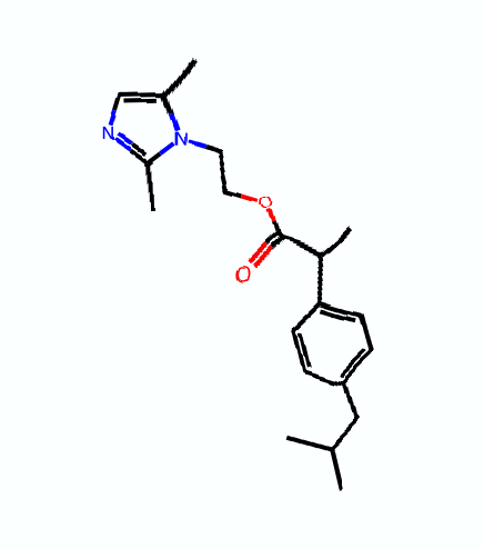 Cc1cnc(C)n1CCOC(=O)C(C)c1ccc(CC(C)C)cc1